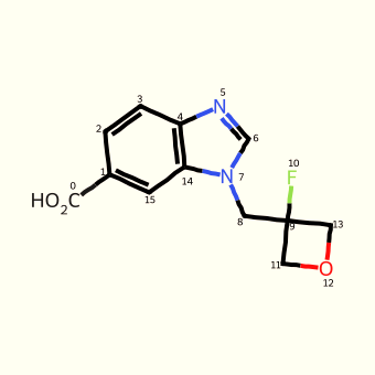 O=C(O)c1ccc2ncn(CC3(F)COC3)c2c1